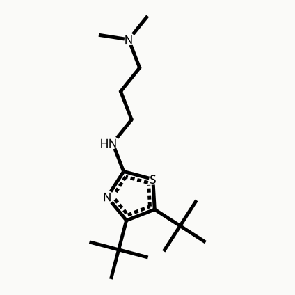 CN(C)CCCNc1nc(C(C)(C)C)c(C(C)(C)C)s1